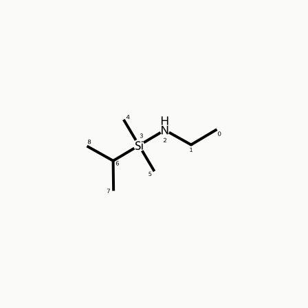 CCN[Si](C)(C)C(C)C